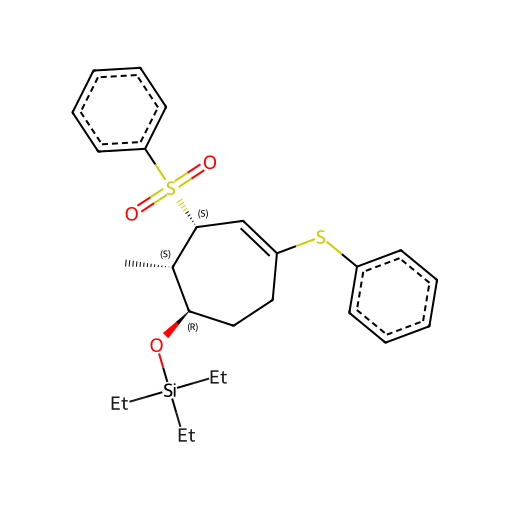 CC[Si](CC)(CC)O[C@@H]1CCC(Sc2ccccc2)=C[C@@H](S(=O)(=O)c2ccccc2)[C@H]1C